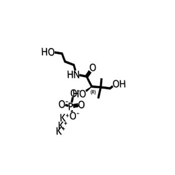 CC(C)(CO)[C@@H](O)C(=O)NCCCO.O=P([O-])([O-])[O-].[K+].[K+].[K+]